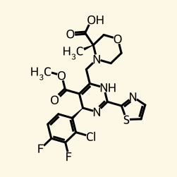 COC(=O)C1=C(CN2CCOC[C@@]2(C)C(=O)O)NC(c2nccs2)=N[C@H]1c1ccc(F)c(F)c1Cl